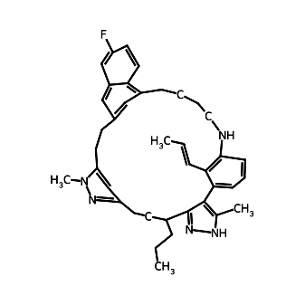 C/C=C/c1c2cccc1-c1c(n[nH]c1C)C(CCC)CCc1cc(n(C)n1)CCc1cc(c3ccc(F)cc3c1)CCCCN2